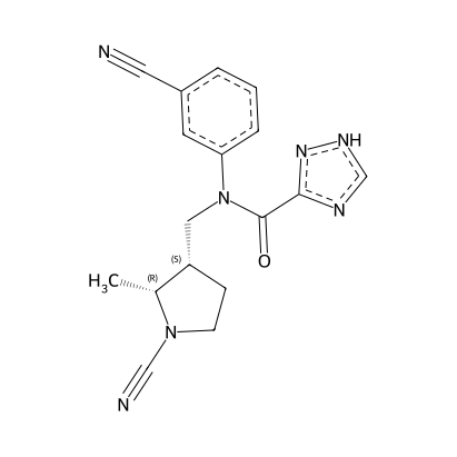 C[C@@H]1[C@H](CN(C(=O)c2nc[nH]n2)c2cccc(C#N)c2)CCN1C#N